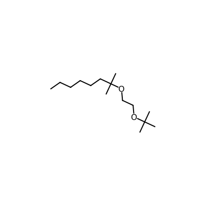 CCCCCCC(C)(C)OCCOC(C)(C)C